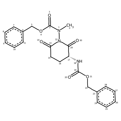 CN(C(=O)OCc1ccccc1)N1C(=O)CC[C@@H](NC(=O)OCc2ccccc2)C1=O